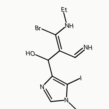 CCN/C(Br)=C(\C=N)C(O)c1ncn(C)c1I